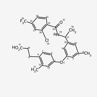 Cc1cc(Oc2ccc(CCC(=O)O)c(C)c2)cc(C(C)NC(=O)c2ccc(C(F)(F)F)cc2Cl)c1